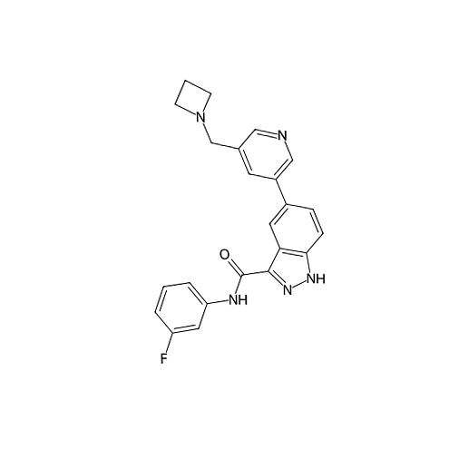 O=C(Nc1cccc(F)c1)c1n[nH]c2ccc(-c3cncc(CN4CCC4)c3)cc12